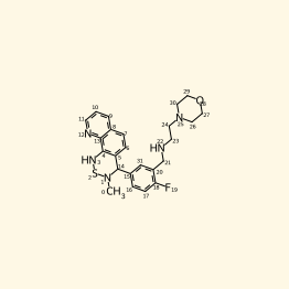 CN1SNc2c(ccc3cccnc23)C1c1ccc(F)c(CNCCN2CCOCC2)c1